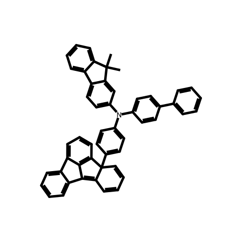 CC1(C)c2ccccc2-c2ccc(N(c3ccc(-c4ccccc4)cc3)c3ccc(C45C=CC=CC4=C4c6ccccc6-c6cccc5c64)cc3)cc21